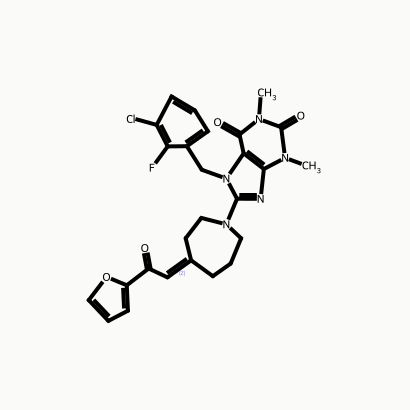 Cn1c(=O)c2c(nc(N3CCC/C(=C/C(=O)c4ccco4)CC3)n2Cc2cccc(Cl)c2F)n(C)c1=O